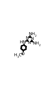 COc1ccc(Nc2nc(N)nc(N)n2)cc1